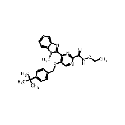 CCONC(=O)c1ncc(SCc2ccc(C(C)(C)C)cc2)c(-c2nc3ccccc3n2C)n1